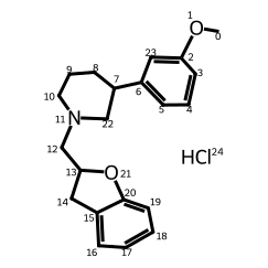 COc1cccc(C2CCCN(CC3Cc4ccccc4O3)C2)c1.Cl